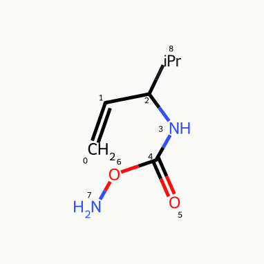 C=CC(NC(=O)ON)C(C)C